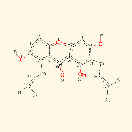 COc1cc2oc3ccc(OC)c(CC=C(C)C)c3c(=O)c2c(O)c1CC=C(C)C